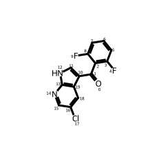 O=C(c1c(F)cccc1F)c1c[nH]c2ncc(Cl)cc12